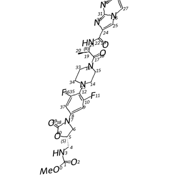 COC(=O)NC[C@H]1CN(c2cc(F)c(N3CCN(C(=O)[C@@H](C)NC(=O)c4cn5cccnc5n4)CC3)c(F)c2)C(=O)O1